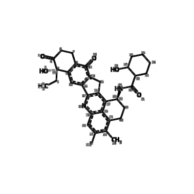 CC[C@@]1(O)C(=O)CCc2c1cc1n(c2=O)Cc2c-1nc1cc(F)c(C)c3c1c2[C@@H](NC(=O)C1CCCCC1O)CC3